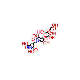 O=C(O)CC(=O)O[C@H]1[C@H](O)[C@@H](O)[C@H](Oc2cc3c(cc2O)[N+](=CC=C2C=C(C(=O)O)N[C@H](C(=O)O)C2)[C@H](C(=O)O)C3)O[C@@H]1CO